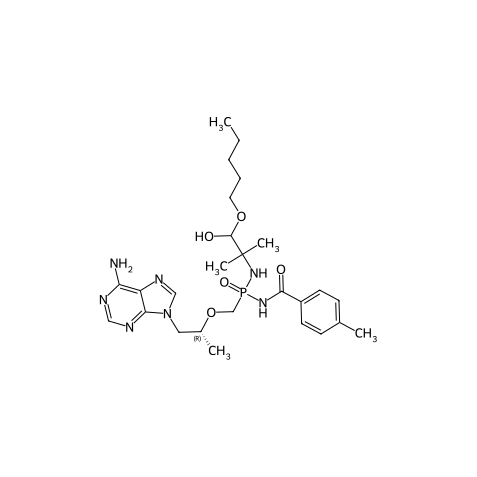 CCCCCOC(O)C(C)(C)NP(=O)(CO[C@H](C)Cn1cnc2c(N)ncnc21)NC(=O)c1ccc(C)cc1